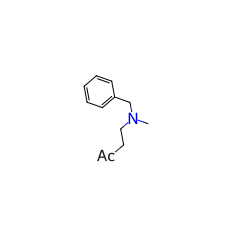 CC(=O)CCN(C)Cc1ccccc1